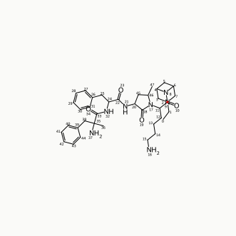 CCN1CC2CC(C1)N2C(=O)C(CCCCN)N1C(=O)C(NC(=O)C(Cc2ccccc2)NC(=O)C(C)(N)Cc2ccccc2)CC1C